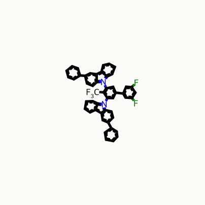 Fc1cc(F)cc(-c2cc(-n3c4ccccc4c4cc(-c5ccccc5)ccc43)c(C(F)(F)F)c(-n3c4ccccc4c4cc(-c5ccccc5)ccc43)c2)c1